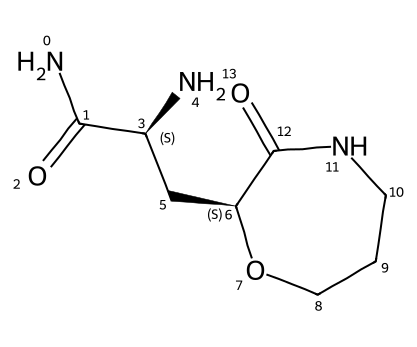 NC(=O)[C@@H](N)C[C@@H]1OCCCNC1=O